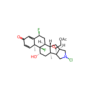 CC(=O)OCC(=O)[C@@]12CN(Cl)C[C@@H]1C[C@H]1[C@@H]3C[C@H](F)C4=CC(=O)C=C[C@]4(C)[C@@]3(F)[C@@H](O)C[C@@]12C